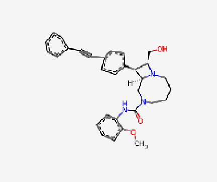 COc1ccccc1NC(=O)N1CCCCN2[C@H](CO)[C@H](c3ccc(C#Cc4ccccc4)cc3)[C@@H]2C1